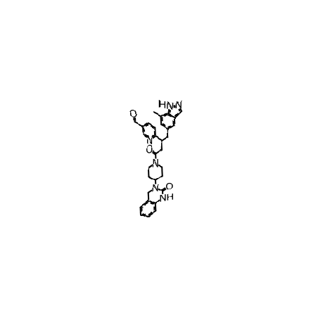 Cc1cc(CC(CC(=O)N2CCC(N3Cc4ccccc4NC3=O)CC2)c2ccc(C=O)cn2)cc2cn[nH]c12